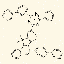 CC1(C)C2=c3ccccc3=CC(c3ccc(-c4ccccc4)cc3)C2c2ccc(-c3nc(-c4ccccc4)nc(-c4cccc(-c5ccccc5)c4)n3)cc21